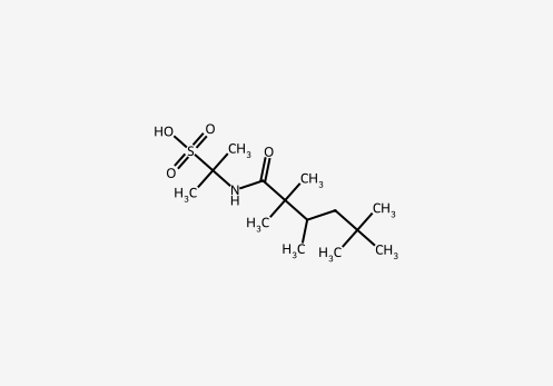 CC(CC(C)(C)C)C(C)(C)C(=O)NC(C)(C)S(=O)(=O)O